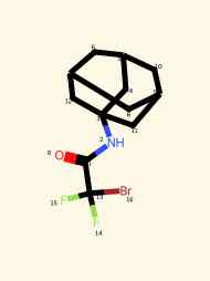 O=C(NC12CC3CC(CC(C3)C1)C2)C(F)(F)Br